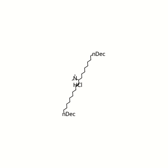 CCCCCCCCCCCCCCCCCCC=CC(CCCCCCCCCCCCCCCCCC)N(C)C.Cl